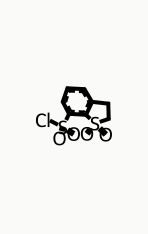 O=S(=O)(Cl)c1cccc2c1S(=O)(=O)CC2